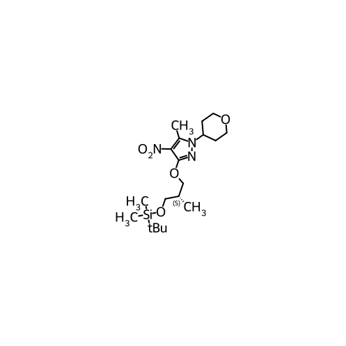 Cc1c([N+](=O)[O-])c(OC[C@H](C)CO[Si](C)(C)C(C)(C)C)nn1C1CCOCC1